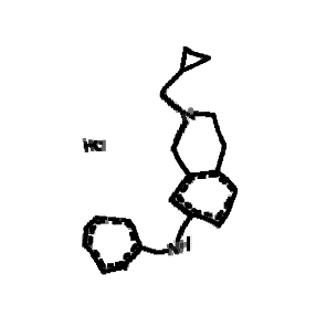 Cl.c1ccc(Nc2ccc3c(c2)CN(CC2CC2)CC3)cc1